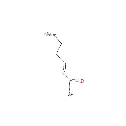 CCCCCCCC=CC(=O)C(C)=O